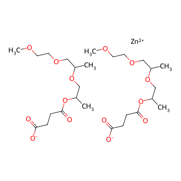 COCCOCC(C)OCC(C)OC(=O)CCC(=O)[O-].COCCOCC(C)OCC(C)OC(=O)CCC(=O)[O-].[Zn+2]